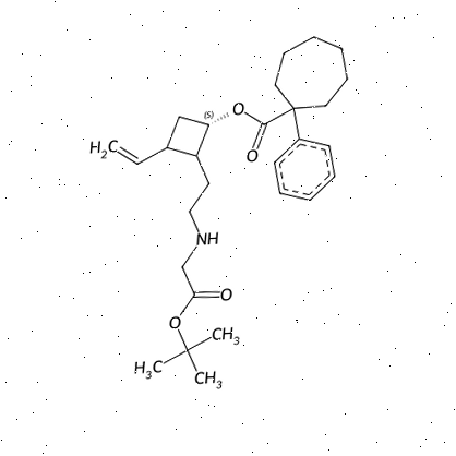 C=CC1C[C@H](OC(=O)C2(c3ccccc3)CCCCCC2)C1CCNCC(=O)OC(C)(C)C